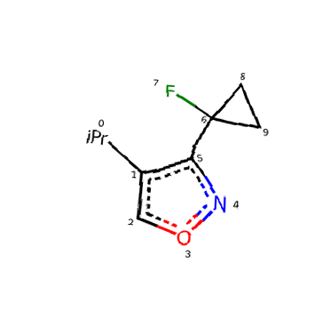 CC(C)c1conc1C1(F)CC1